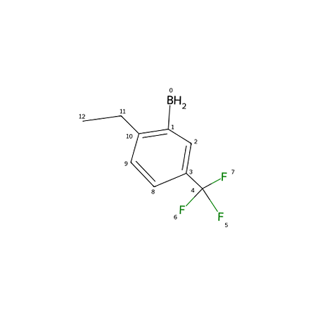 Bc1cc(C(F)(F)F)ccc1CC